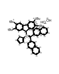 CC(C)(C)c1cc2c(cc1C(C)(C)C)[CH]([Zr]([C]1=CC=CC1)=[C](c1ccc3ccccc3c1)c1ccc3ccccc3c1)c1cc(C(C)(C)C)c(C(C)(C)C)cc1-2.Cl.Cl